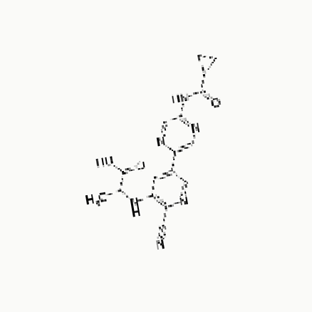 CC(Nc1cc(-c2cnc(NC(=O)C3CC3)cn2)cnc1C#N)C(=O)O